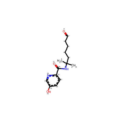 CC(C)(CCCCC=O)NC(=O)c1ccc(O)cn1